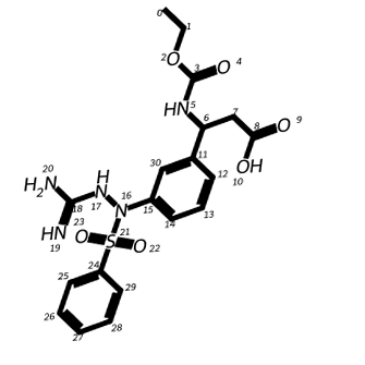 CCOC(=O)NC(CC(=O)O)c1cccc(N(NC(=N)N)S(=O)(=O)c2ccccc2)c1